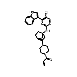 C=CC(=O)N1CCN(C2=C3CCC(Nc4ncc(Cl)c(-c5c[nH]c6ccccc56)n4)(C3)C2)CC1